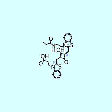 CCC(=O)NCC[n+]1c(/C=C2/C(=O)C(/C=C3\Sc4ccccc4N3CCC(=O)O)=C2O)sc2ccccc21